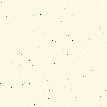 FC(F)(F)Cn1c2cnccc2c2cc(Cl)cc(-c3ccc(Cl)s3)c21